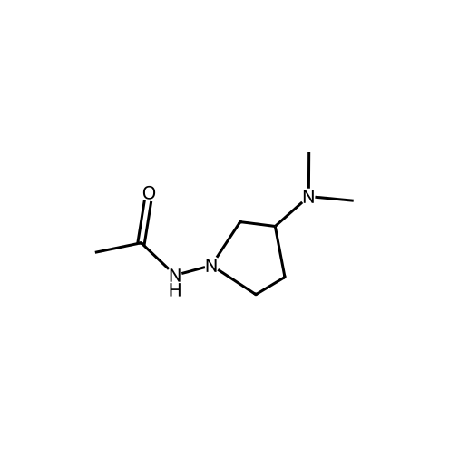 CC(=O)NN1CCC(N(C)C)C1